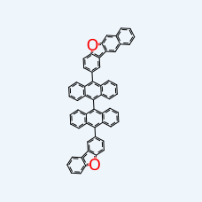 c1ccc2cc3c(cc2c1)oc1ccc(-c2c4ccccc4c(-c4c5ccccc5c(-c5ccc6oc7ccccc7c6c5)c5ccccc45)c4ccccc24)cc13